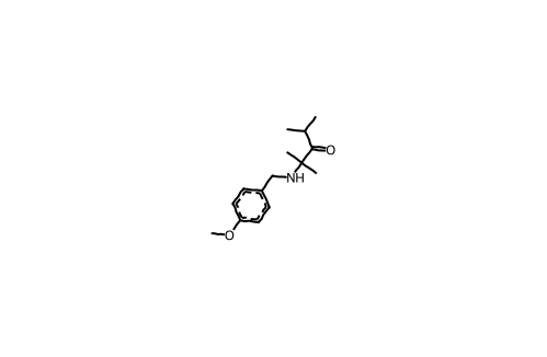 COc1ccc(CNC(C)(C)C(=O)C(C)C)cc1